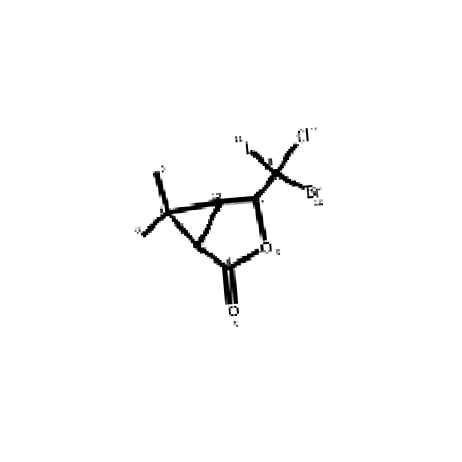 CC1(C)C2C(=O)OC(C(Cl)(Br)I)C21